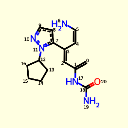 C=C(/C=C(\C=C/N)c1ccnn1C1CCCC1)NC(N)=O